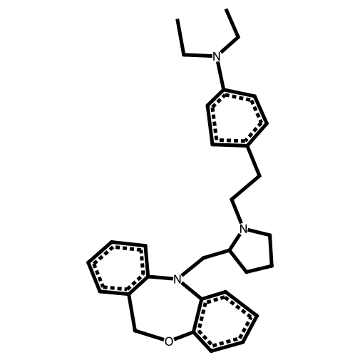 CCN(CC)c1ccc(CCN2CCCC2CN2c3ccccc3COc3ccccc32)cc1